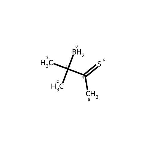 BC(C)(C)C(C)=S